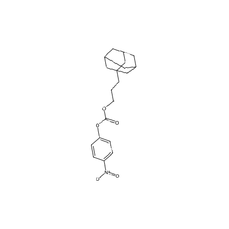 O=C(OCCCC12CC3CC(CC(C3)C1)C2)Oc1ccc([N+](=O)[O-])cc1